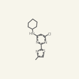 Cc1csc(-c2nc(Cl)cc(NC3CCCCC3)n2)n1